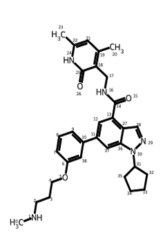 CNCCCOc1cccc(-c2cc(C(=O)NCc3c(C)cc(C)[nH]c3=O)c3cnn(C4CCCC4)c3c2)c1